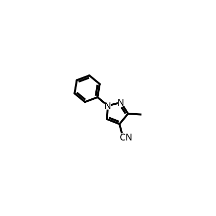 Cc1nn(-c2ccccc2)cc1C#N